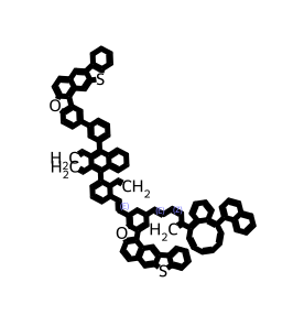 C=Cc1c(C=C)c(-c2cccc(-c3ccc4oc5ccc6cc7c8c(sc7cc6c5c4c3)C=CCC8)c2)c2c(c1C1=CC=CC(/C=C/C3=c4oc5ccc6cc7sc8ccccc8c7cc6c5c4=CC(/C=C/C=C\C(=C)c4ccccccc(-c5cccc6ccccc56)c5ccccc45)C3)C1C=C)=CCCC=2